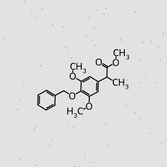 COC(=O)C(C)c1cc(OC)c(OCc2ccccc2)c(OC)c1